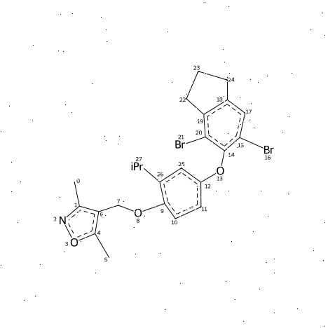 Cc1noc(C)c1COc1ccc(Oc2c(Br)cc3c(c2Br)CC[CH]3)cc1C(C)C